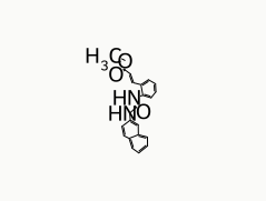 COC(=O)C=Cc1ccccc1NC(=O)Nc1ccc2ccccc2c1